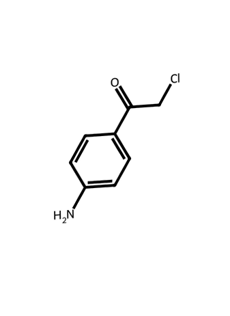 Nc1ccc(C(=O)CCl)cc1